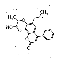 CCCc1cc2c(-c3ccccc3)cc(=O)oc2cc1OC(C)C(=O)O